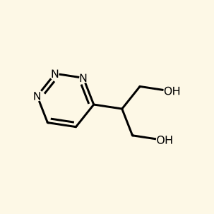 OCC(CO)c1ccnnn1